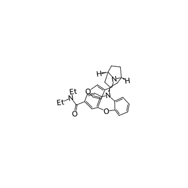 CCN(CC)C(=O)c1ccc2c(c1)Oc1ccccc1N2[C@@H]1C[C@H]2CC[C@@H](C1)N2Cc1ccoc1